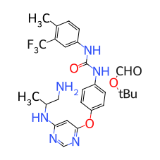 CC(C)(C)OC=O.Cc1ccc(NC(=O)Nc2ccc(Oc3cc(NC(C)CN)ncn3)cc2)cc1C(F)(F)F